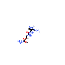 Cn1ncc(NC(=O)NCCOC(N)=O)c1N